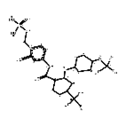 O=C(Nc1ccn(COP(=O)(O)O)c(=O)c1)C1CCC(C(F)(F)F)CC1OC1CCC(OC(F)(F)F)CC1